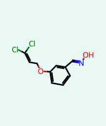 ON=Cc1cccc(OCC=C(Cl)Cl)c1